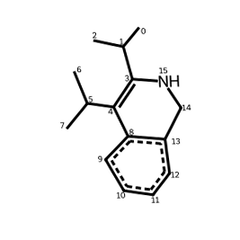 CC(C)C1=C(C(C)C)c2ccccc2CN1